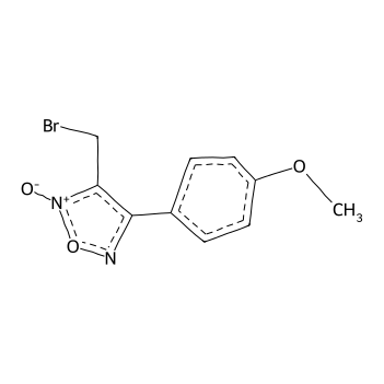 COc1ccc(-c2no[n+]([O-])c2CBr)cc1